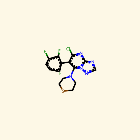 Fc1ccc(F)c(-c2c(Cl)nc3ncnn3c2N2CCSCC2)c1F